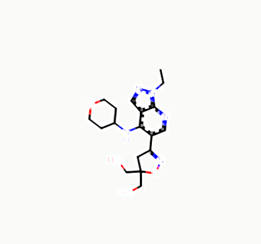 CCn1ncc2c(NC3CCOCC3)c(C3=NOC(CO)(CO)C3)cnc21